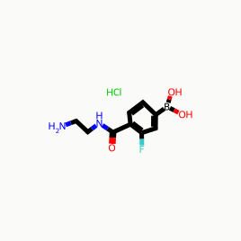 Cl.NCCNC(=O)c1ccc(B(O)O)cc1F